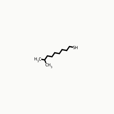 CC(C)CCCCCCCS